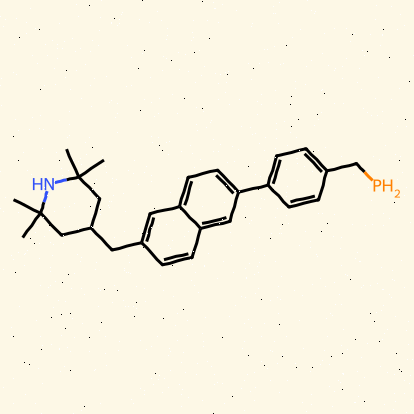 CC1(C)CC(Cc2ccc3cc(-c4ccc(CP)cc4)ccc3c2)CC(C)(C)N1